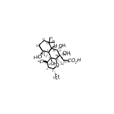 CC[C@@H]1CC(=O)[C@]2(O)[C@@]3(C)[C@@H](O)CCC(C)(C)[C@@H]3[C@H](O)[C@@](O)(CC(=O)O)[C@@]2(C)O1